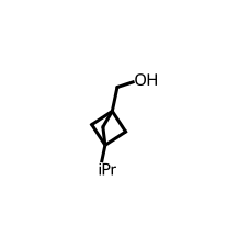 CC(C)C12CC(CO)(C1)C2